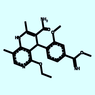 CCOc1ncc(C)c2c1C(c1ccc(C(=N)OC)cc1OC)C(C(N)=O)=C(C)N2